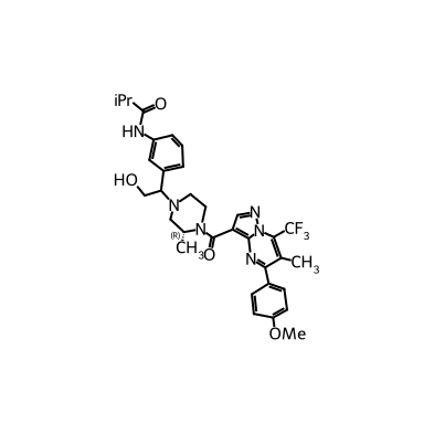 COc1ccc(-c2nc3c(C(=O)N4CCN(C(CO)c5cccc(NC(=O)C(C)C)c5)C[C@H]4C)cnn3c(C(F)(F)F)c2C)cc1